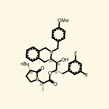 CCCC[C@H]1CCN([C@@H](C)C(=O)O[C@@H](Cc2cc(F)cc(F)c2)[C@H](O)[C@H]2Cc3ccccc3CN2Cc2ccc(OC)cc2)C1=O